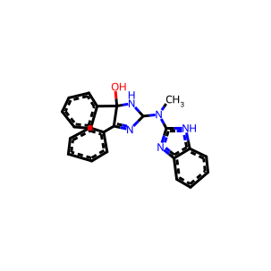 CN(c1nc2ccccc2[nH]1)C1N=C(c2ccccc2)C(O)(c2ccccc2)N1